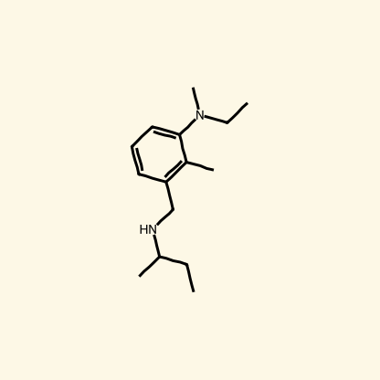 CCC(C)NCc1cccc(N(C)CC)c1C